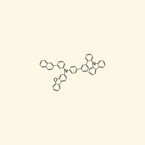 c1cc(-c2ccc(N(c3cccc(-c4ccc5ccccc5c4)c3)c3ccc4c(c3)oc3ccccc34)cc2)cc(-c2ccccc2-n2c3ccccc3c3ccccc32)c1